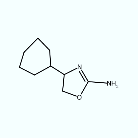 NC1=NC(C2CCCCC2)CO1